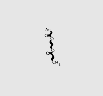 C/C=C/C(=O)OCC=COC(=O)CC(C)=O